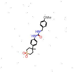 COc1ccc(CNC(=O)Nc2ccc(C3(C)CCS(=O)(=O)CC3)cc2)cc1